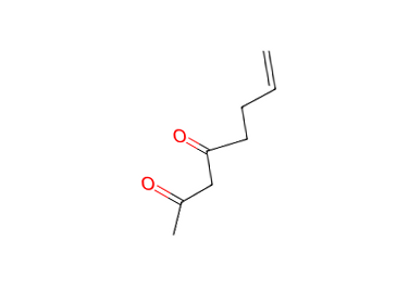 C=CCCC(=O)CC(C)=O